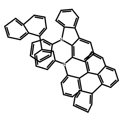 c1ccc(-c2cccc3cccc(-c4ccccc4N(c4cccc(-c5cccc6ccccc56)c4)c4cccc5c6ccccc6n(-c6ccccc6)c45)c23)cc1